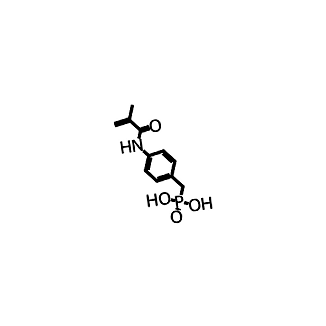 C=C(C)C(=O)Nc1ccc(CP(=O)(O)O)cc1